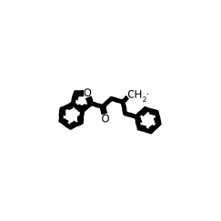 [CH2]C(CC(=O)c1occ2ccccc12)Cc1ccccc1